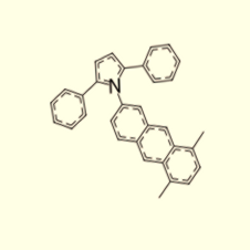 Cc1ccc(C)c2cc3cc(-n4c(-c5ccccc5)ccc4-c4ccccc4)ccc3cc12